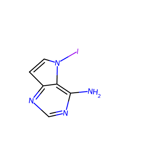 Nc1ncnc2ccn(I)c12